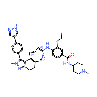 CCCc1cc(C(=O)NC2CCN(C)CC2)ccc1NC1=C/C=C/C2=C(/C=N\1)CCc1nn(C)c(-c3ccc(-c4cnn(C)c4)cc3)c12